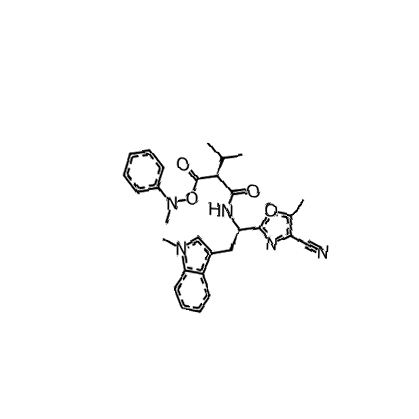 Cc1oc([C@@H](Cc2cn(C)c3ccccc23)NC(=O)[C@@H](C(=O)ON(C)c2ccccc2)C(C)C)nc1C#N